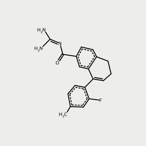 Cc1ccc(C2=CCCc3ccc(C(=O)N=C(N)N)cc32)c(F)c1